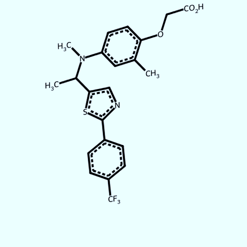 Cc1cc(N(C)C(C)c2cnc(-c3ccc(C(F)(F)F)cc3)s2)ccc1OCC(=O)O